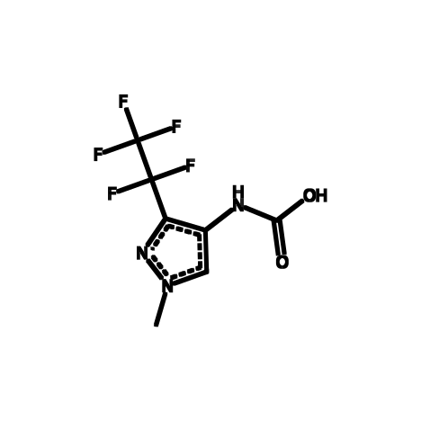 Cn1cc(NC(=O)O)c(C(F)(F)C(F)(F)F)n1